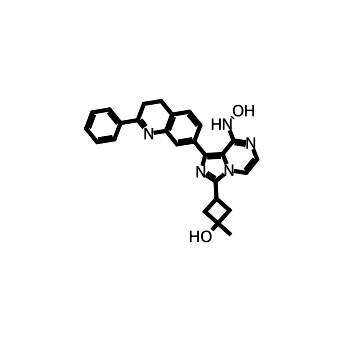 CC1(O)CC(c2nc(-c3ccc4c(c3)N=C(c3ccccc3)CC4)c3c(NO)nccn23)C1